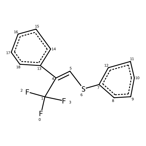 FC(F)(F)C(=CSc1ccccc1)c1ccccc1